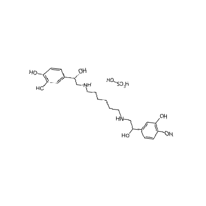 O=S(=O)(O)O.Oc1ccc(C(O)CNCCCCCCNCC(O)c2ccc(O)c(O)c2)cc1O